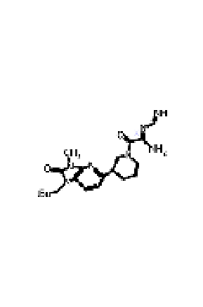 Cn1c(=O)n(CC(C)(C)C)c2ccc(C3CCCN(C(=O)/C(N)=N/C=N)C3)nc21